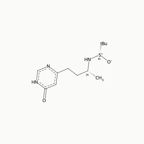 C[C@H](CCc1cc(=O)[nH]cn1)N[S@@+]([O-])C(C)(C)C